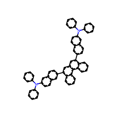 c1ccc(N(c2ccccc2)c2ccc3cc(-c4cc5cc(-c6ccc7cc(N(c8ccccc8)c8ccccc8)ccc7c6)c6ccccc6c5c5ccccc45)ccc3c2)cc1